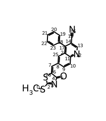 CSC1=NC(=O)/C(=C\c2ccc3ncc(C#N)c(-c4ccccc4)c3c2)S1